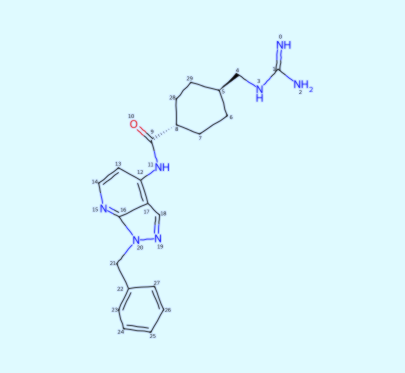 N=C(N)NC[C@H]1CC[C@H](C(=O)Nc2ccnc3c2cnn3Cc2ccccc2)CC1